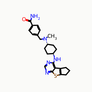 CN(Cc1ccc(C(N)=O)cc1)[C@H]1CC[C@H](Nc2ncnc3sc4c(c23)CCC4)CC1